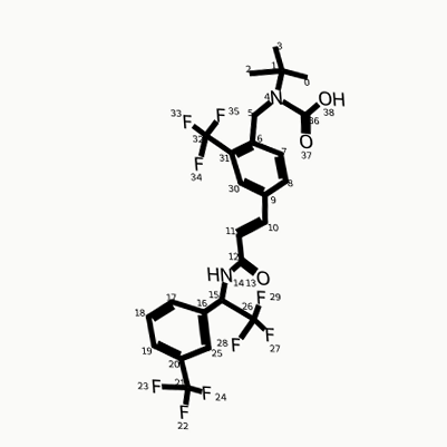 CC(C)(C)N(Cc1ccc(C=CC(=O)NC(c2cccc(C(F)(F)F)c2)C(F)(F)F)cc1C(F)(F)F)C(=O)O